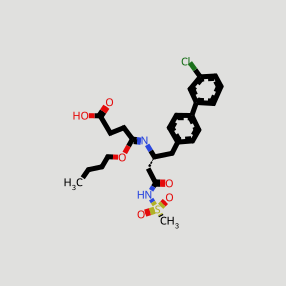 CCCCOC(CCC(=O)O)=N[C@@H](CC(=O)NS(C)(=O)=O)Cc1ccc(-c2cccc(Cl)c2)cc1